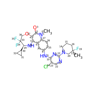 Cn1c(=O)c2c(c3cc(Nc4nc(N5CCCC(C)(F)C5)ncc4Cl)ccc31)N[C@@H](C1CC1)C(F)(F)CO2